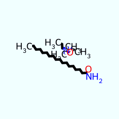 CCCCCCCCCCCCCCCCCC(N)=O.CCC[N+](C)(C)OCC